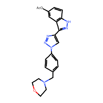 CC(=O)Oc1ccc2[nH]nc(-c3cn(-c4ccc(CN5CCOCC5)cc4)nn3)c2c1